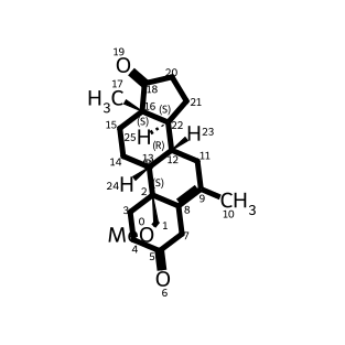 COC[C@]12CCC(=O)CC1=C(C)C[C@@H]1[C@H]2CC[C@]2(C)C(=O)CC[C@@H]12